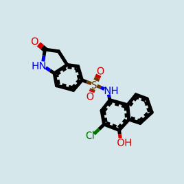 O=C1Cc2cc(S(=O)(=O)Nc3cc(Cl)c(O)c4ccccc34)ccc2N1